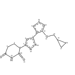 O=C1CCC(n2cc(-c3cscc3OCC3CC3)nn2)C(=O)N1